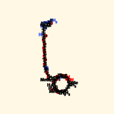 CO[C@H]1C[C@]2(O)CC[C@@H](C)[C@@](O)(O2)C(=O)C(=O)N2CCCC[C@H]2C(=O)O[C@H]([C@H](C)C[C@@H]2CC[C@@H](OCCOCc3cn(CCOCCOCCOCCOCCOCCOCCOCCC(=O)NCCCCC4N=C(c5ccc6oc(N)nc6c5)c5c(N)ncnc54)nn3)[C@H](OC)C2)CC(=O)[C@H](C)/C=C(\C)[C@@H](O)[C@@H](OC)C(=O)[C@H](C)C[C@H](C)/C=C/C=C/C=C/1C